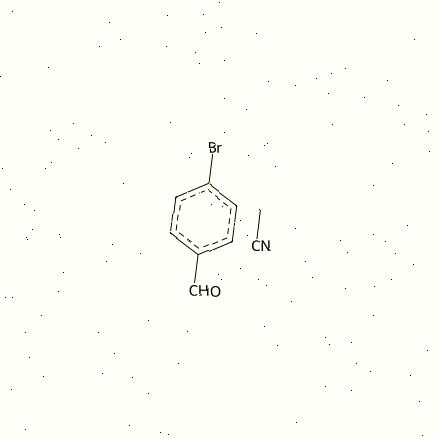 CC#N.O=Cc1ccc(Br)cc1